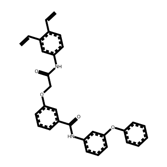 C=Cc1ccc(NC(=O)COc2cccc(C(=O)Nc3cccc(Oc4ccccc4)c3)c2)cc1C=C